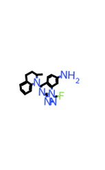 CC1CCc2ccccc2N1c1nc2nnc(F)n2c2cc(N)ccc12